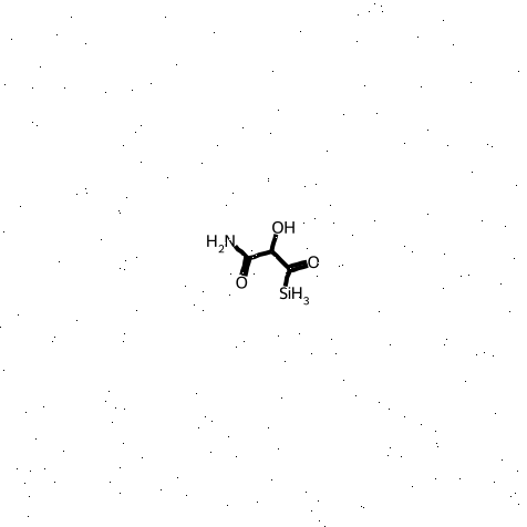 NC(=O)C(O)C(=O)[SiH3]